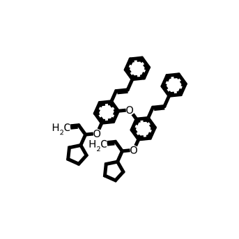 C=CC(Oc1ccc(C=Cc2ccccc2)c(Oc2cc(OC(C=C)C3CCCC3)ccc2C=Cc2ccccc2)c1)C1CCCC1